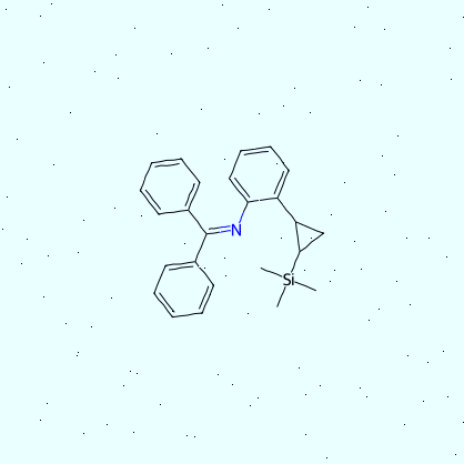 C[Si](C)(C)C1CC1c1ccccc1N=C(c1ccccc1)c1ccccc1